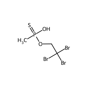 CP(O)(=S)OCC(Br)(Br)Br